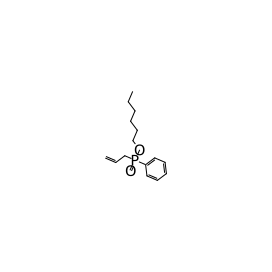 C=CCP(=O)(OCCCCCC)c1ccccc1